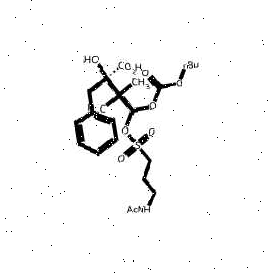 CCCCOC(=O)OC(OS(=O)(=O)CCCNC(C)=O)C(C)(C)[C@](O)(Cc1ccccc1)C(=O)O